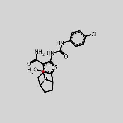 CCN1C2CCC1c1sc(NC(=O)Nc3ccc(Cl)cc3)c(C(N)=O)c1C2